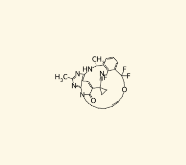 Cc1nc2c3cc(C4(C#N)CC4)c(=O)n(c3n1)CCCC/C=C\COCC(F)(F)c1cccc(c1F)[C@@H](C)N2